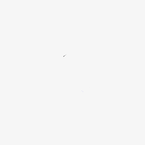 CCc1ccc(-c2cccc(CCOc3ccc4c(c3)CC[C@H]4[C@H](CC)C(=O)O)n2)cc1